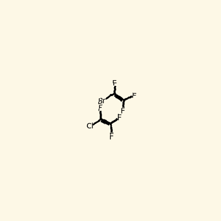 FC(F)=C(F)Br.FC(F)=C(F)Cl